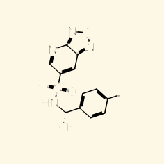 O=S(=O)(N[C@H](c1ccc(F)cc1)C(F)(F)F)c1cnc2nsnc2c1